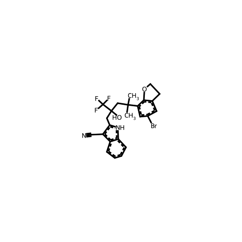 CC(C)(CC(O)(Cc1[nH]c2ccccc2c1C#N)C(F)(F)F)c1cc(Br)cc2c1OCC2